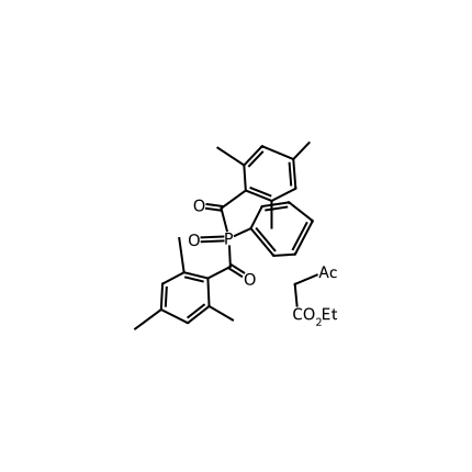 CCOC(=O)CC(C)=O.Cc1cc(C)c(C(=O)P(=O)(C(=O)c2c(C)cc(C)cc2C)c2ccccc2)c(C)c1